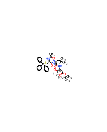 CC(=O)N[C@@H](CSC(c1ccccc1)(c1ccccc1)c1ccccc1)C(=O)N[C@@H](CC(C)(C)C)C(=O)N[C@@H](CC(=O)OC(C)(C)C)C(C)=O